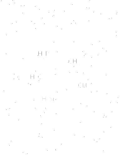 CC([SiH3])C(C)(C)P